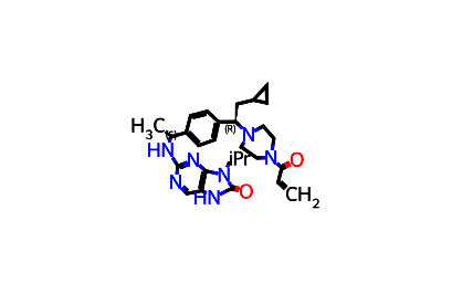 C=CC(=O)N1CCN([C@H](CC2CC2)c2ccc([C@H](C)Nc3ncc4[nH]c(=O)n(C(C)C)c4n3)cc2)CC1